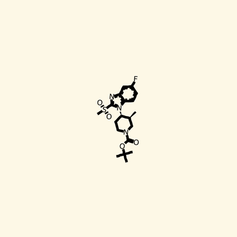 C[C@H]1CN(C(=O)OC(C)(C)C)CC[C@@H]1n1c(S(C)(=O)=O)nc2cc(F)ccc21